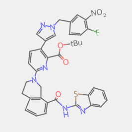 CC(C)(C)OC(=O)c1nc(N2CCc3cccc(C(=O)Nc4nc5ccccc5s4)c3C2)ccc1-c1cnn(Cc2ccc(F)c([N+](=O)[O-])c2)c1